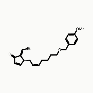 CC/C=C1/C(=O)C=C[C@@H]1C/C=C\CCCCOCc1ccc(OC)cc1